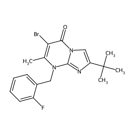 Cc1c(Br)c(=O)n2cc(C(C)(C)C)nc2n1Cc1ccccc1F